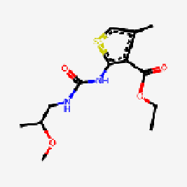 CCOC(=O)c1c(C)csc1NC(=O)NCC(C)OC